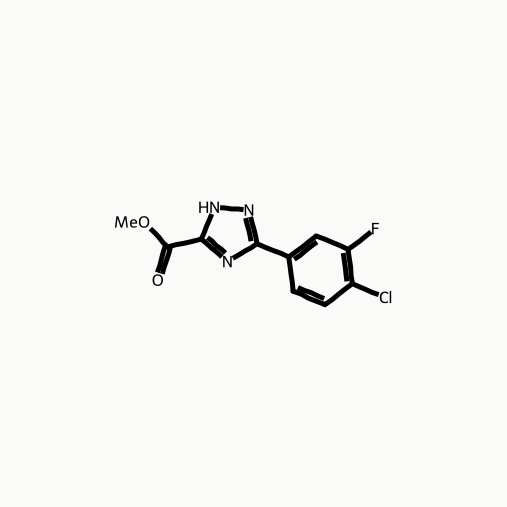 COC(=O)c1nc(-c2ccc(Cl)c(F)c2)n[nH]1